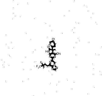 CC1(c2ccc(Cl)cn2)C(=O)Nc2nc(-c3cn4ncnc4c(CCC(F)(F)C(F)(F)F)n3)nc(O)c21